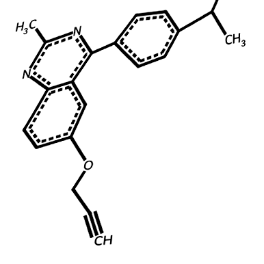 C#CCOc1ccc2nc(C)nc(-c3ccc(C(C)C)cc3)c2c1